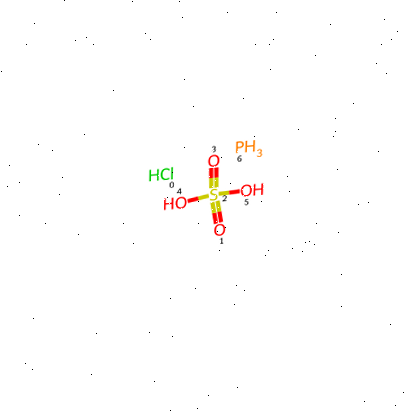 Cl.O=S(=O)(O)O.P